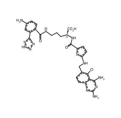 Nc1ccc(C(=O)NCCC[C@H](NC(=O)c2ccc(NCc3ccc4nc(N)nc(N)c4c3Cl)s2)C(=O)O)c(-c2nn[nH]n2)c1